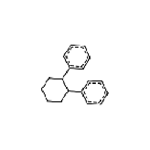 [CH]1CCC(c2ccccc2)C(c2ccccc2)C1